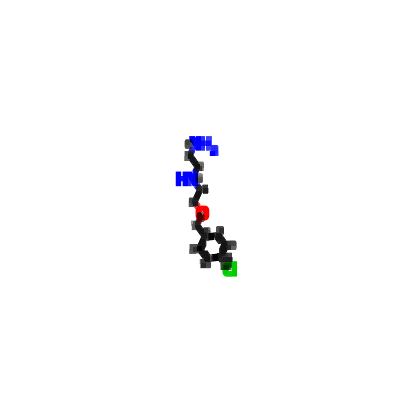 NCCNCCOCc1ccc(Cl)cc1